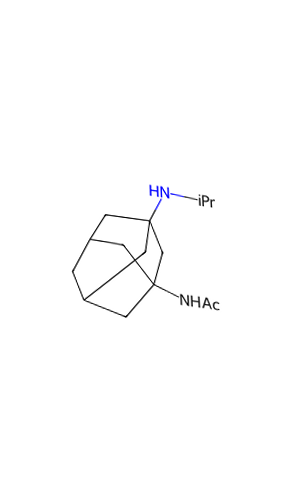 CC(=O)NC12CC3CC(C1)CC(NC(C)C)(C3)C2